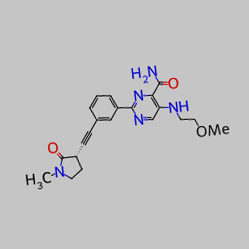 COCCNc1cnc(-c2cccc(C#C[C@@H]3CCN(C)C3=O)c2)nc1C(N)=O